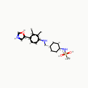 Cc1c(NC[C@H]2CC[C@H](NS(=O)(=O)C(C)C)CC2)ccc(-c2cnco2)c1C